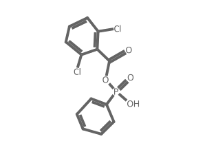 O=C(OP(=O)(O)c1ccccc1)c1c(Cl)cccc1Cl